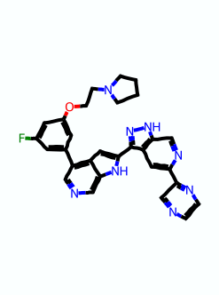 Fc1cc(OCCN2CCCC2)cc(-c2cncc3[nH]c(-c4n[nH]c5cnc(-c6cnccn6)cc45)cc23)c1